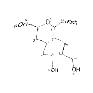 CCCCCCCCC(CCCCO)OC(CCCCO)CCCCCCCC